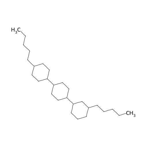 CCCCCC1CCC(C2CCC(C3CCCC(CCCCC)C3)CC2)CC1